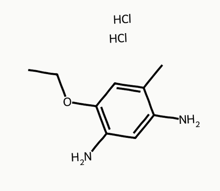 CCOc1cc(C)c(N)cc1N.Cl.Cl